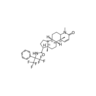 CN1C(=O)C=C[C@@]2(C)C1CC[C@@H]1[C@H]2CC[C@]2(C)C(C(=O)NC(c3ccccc3)(C(F)(F)F)C(F)(F)F)CC[C@@H]12